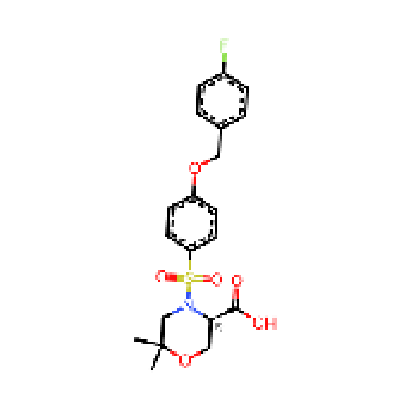 CC1(C)CN(S(=O)(=O)c2ccc(OCc3ccc(F)cc3)cc2)[C@@H](C(=O)O)CO1